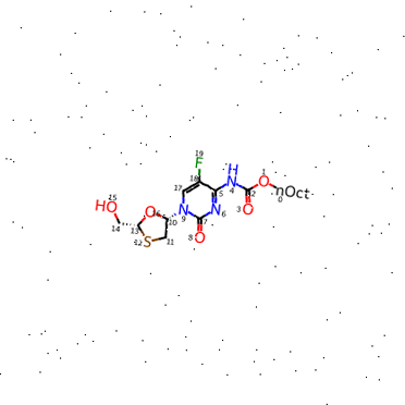 CCCCCCCCOC(=O)Nc1nc(=O)n([C@@H]2CS[C@H](CO)O2)cc1F